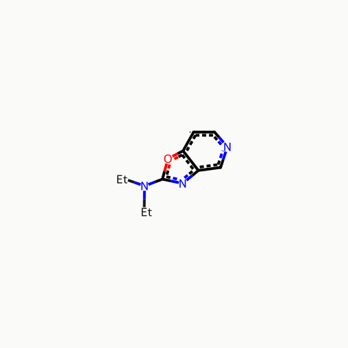 CCN(CC)c1nc2cnc[c]c2o1